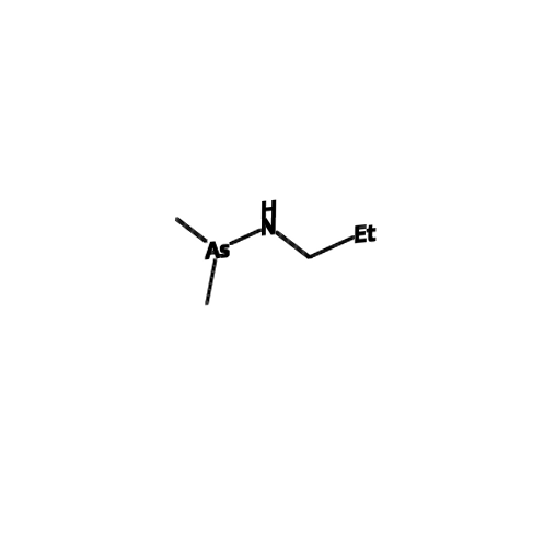 CCCN[As](C)C